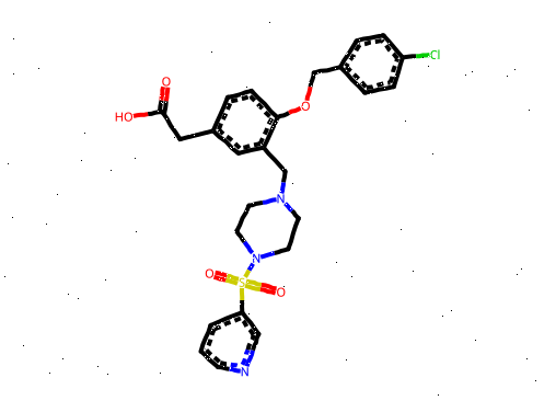 O=C(O)Cc1ccc(OCc2ccc(Cl)cc2)c(CN2CCN(S(=O)(=O)c3cccnc3)CC2)c1